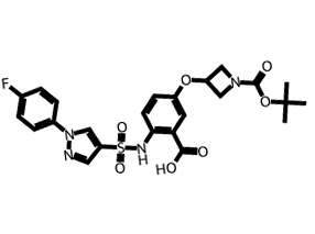 CC(C)(C)OC(=O)N1CC(Oc2ccc(NS(=O)(=O)c3cnn(-c4ccc(F)cc4)c3)c(C(=O)O)c2)C1